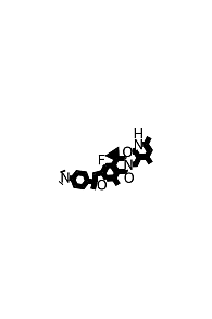 Cc1cc(C)c(CN2CC3(CC3)c3c(F)c4c(c(C)c3C2=O)OC(C)(C2CCC(N(C)C)CC2)C4)c(=O)[nH]1